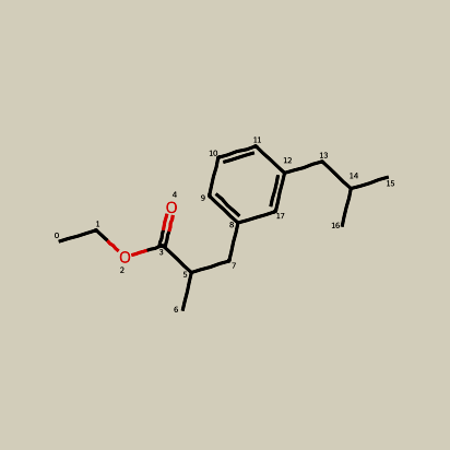 CCOC(=O)C(C)Cc1cccc(CC(C)C)c1